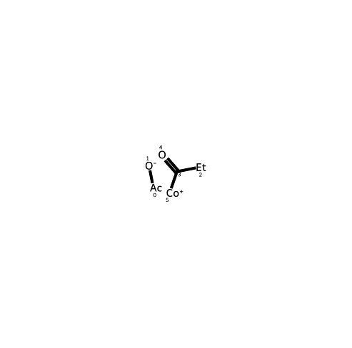 CC(=O)[O-].CC[C](=O)[Co+]